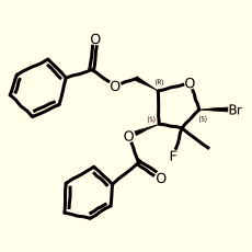 CC1(F)[C@H](Br)O[C@H](COC(=O)c2ccccc2)[C@@H]1OC(=O)c1ccccc1